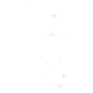 O=C(Nc1ccc(F)cc1)C1(C(=O)Nc2ccc(Oc3ccnc4c3OCCN4)c(F)c2)CC1